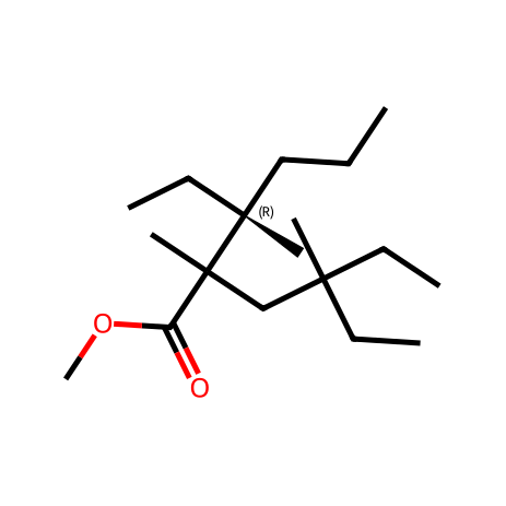 CCC[C@@](C)(CC)C(C)(CC(C)(CC)CC)C(=O)OC